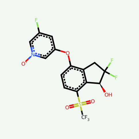 O=S(=O)(c1ccc(Oc2cc(F)c[n+]([O-])c2)c2c1[C@H](O)C(F)(F)C2)C(F)(F)F